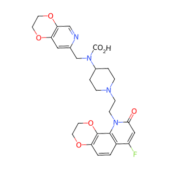 O=C(O)N(Cc1cc2c(cn1)OCCO2)C1CCN(CCn2c(=O)cc(F)c3ccc4c(c32)OCCO4)CC1